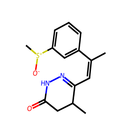 CC(=CC1=NNC(=O)CC1C)c1cccc([S+](C)[O-])c1